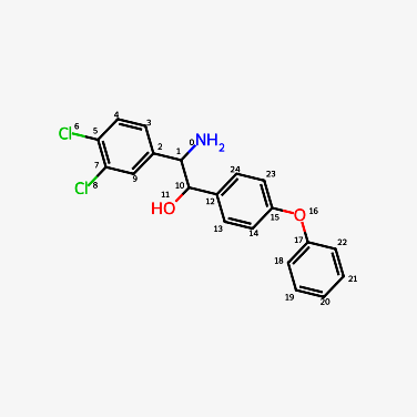 NC(c1ccc(Cl)c(Cl)c1)C(O)c1ccc(Oc2ccccc2)cc1